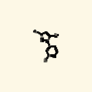 Oc1cc(-n2nc(Br)cc2Br)ccn1